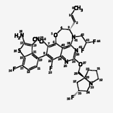 C/C=C/[C@H]1COc2c(Cl)c(-c3ccc(F)c4sc(N)c(C#N)c34)c(F)c3nc(OC[C@@]45CCCN4C[C@H](F)C5)nc(c23)N1CC(F)F